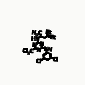 CCN(CC)CC(C)Nc1nc(Nc2cc(Cl)cc(Cl)c2)nc(C(Cl)(Cl)Cl)n1